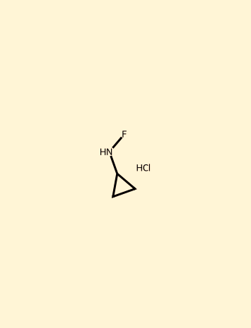 Cl.FNC1CC1